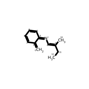 C=C1C=CC=C/C1=N/C=C(\C)CC